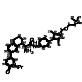 Cc1nn(COCC[Si](C)(C)C)c(C)c1-c1ccc(NC(=O)[C@@H](N)[C@@H]2CCCc3ccc(-c4ccc(=O)n(C(C)C)c4)cc32)cc1